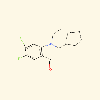 CCN(CC1CCCC1)c1cc(F)c(F)cc1C=O